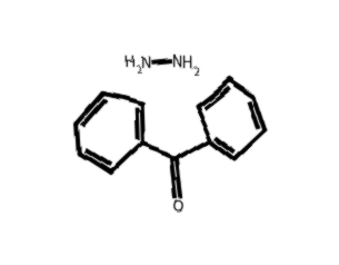 NN.O=C(c1ccccc1)c1ccccc1